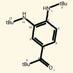 CC(C)(C)Nc1ccc(C(=O)C(C)(C)C)cc1NC(C)(C)C